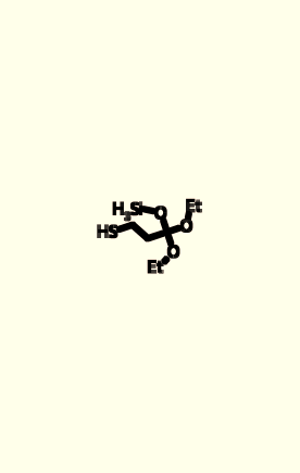 CCOC(CCS)(O[SiH3])OCC